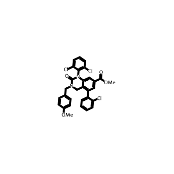 COC(=O)c1cc(-c2ccccc2Cl)c2c(c1)N(c1c(Cl)cccc1Cl)C(=O)N(Cc1ccc(OC)cc1)C2